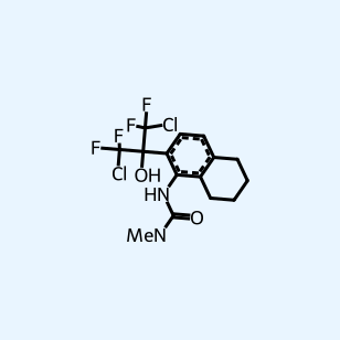 CNC(=O)Nc1c(C(O)(C(F)(F)Cl)C(F)(F)Cl)ccc2c1CCCC2